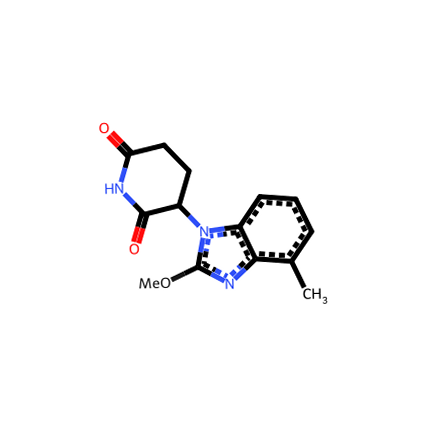 COc1nc2c(C)cccc2n1C1CCC(=O)NC1=O